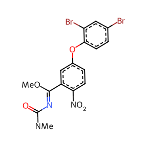 CNC(=O)N=C(OC)c1cc(Oc2ccc(Br)cc2Br)ccc1[N+](=O)[O-]